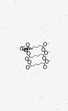 O=C([O-])CCCCC(=O)[O-].O=C([O-])CCCCC(=O)[O-].O=C([O-])CCCCC(=O)[O-].[Ce+3].[Ce+3]